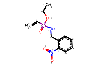 C=CP(=O)(NCc1ccccc1[N+](=O)[O-])OCC